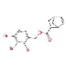 O=C(OCc1ccc(Br)c(Br)c1Br)C1CC2C=CC1C2